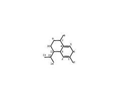 CC1=CC2C(=CC1)C(C)CCC2C(C)C